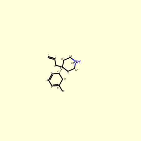 C=CCC1([C@H]2C=CC=C(C)C2)CCNCC1